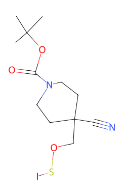 CC(C)(C)OC(=O)N1CCC(C#N)(COSI)CC1